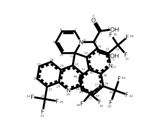 O=C(O)C(CO)N1C=CC=CC1(c1cc(C(F)(F)F)nc2c(C(F)(F)F)cccc12)c1cc(C(F)(F)F)nc2c(C(F)(F)F)cccc12